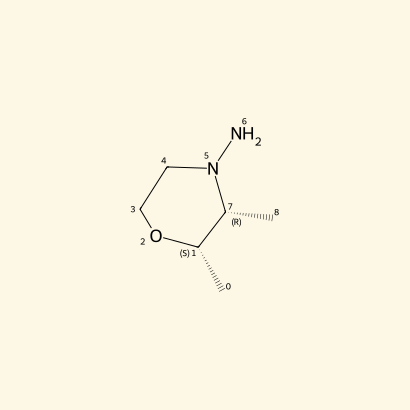 C[C@@H]1OCCN(N)[C@@H]1C